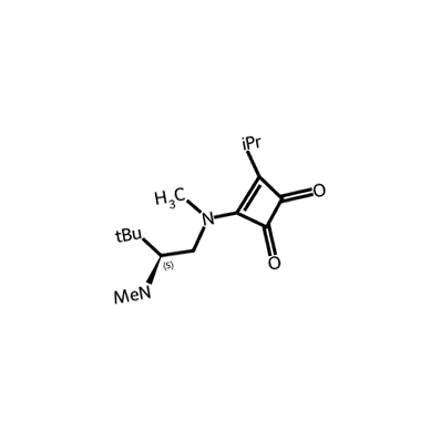 CN[C@H](CN(C)c1c(C(C)C)c(=O)c1=O)C(C)(C)C